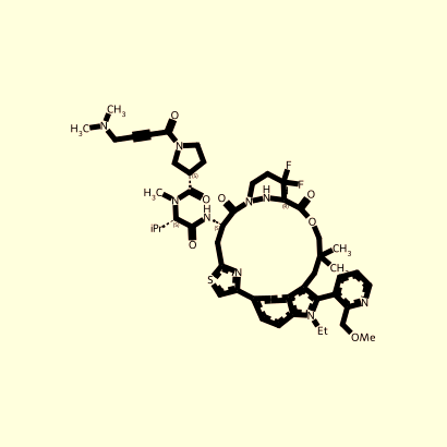 CCn1c(-c2cccnc2COC)c2c3cc(ccc31)-c1csc(n1)C[C@H](NC(=O)[C@H](C(C)C)N(C)C(=O)[C@H]1CCN(C(=O)C#CCN(C)C)C1)C(=O)N1CCC(F)(F)[C@H](N1)C(=O)OCC(C)(C)C2